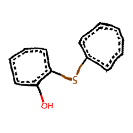 Oc1ccccc1Sc1[c]cccc1